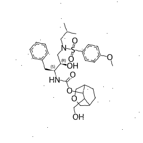 COc1ccc(S(=O)(=O)N(CC(C)C)C[C@@H](O)[C@H](Cc2ccccc2)NC(=O)OC2C3CCC(COC3)C2CO)cc1